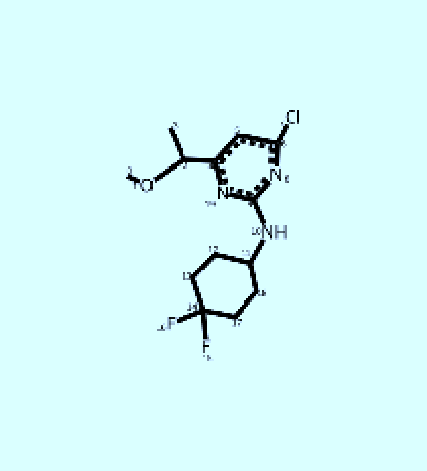 COC(C)c1cc(Cl)nc(NC2CCC(F)(F)CC2)n1